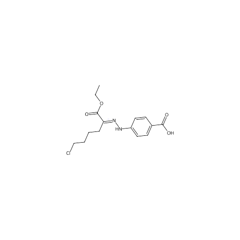 CCOC(=O)/C(CCCCCl)=N/Nc1ccc(C(=O)O)cc1